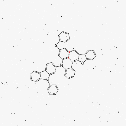 C1=c2c(oc3ccccc23)=C(c2ccccc2N(c2ccc3c(c2)sc2ccccc23)c2ccc3c4ccccc4n(-c4ccccc4)c3c2)CC1